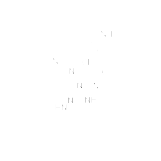 Cc1cc2c(Cl)c(Oc3cc(N4CCN(C)CC4)nc(Nc4cc(C5CCC5)[nH]n4)n3)ccc2[nH]1